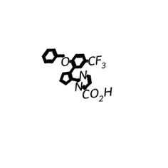 O=C(O)c1ccnc(C2=C(c3cc(C(F)(F)F)ccc3OCc3ccccc3)CCC2)n1